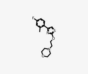 Cc1cc(F)ccc1-c1csc(OCCN2CCOCC2)n1